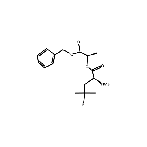 CN[C@@H](CC(C)(C)F)C(=O)O[C@H](C)C(O)OCc1ccccc1